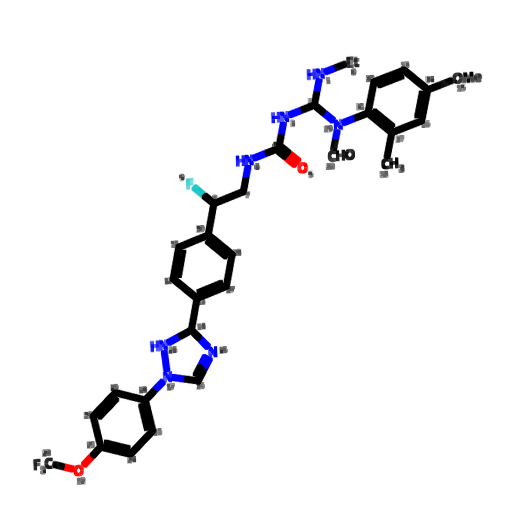 CCNC(NC(=O)NCC(F)c1ccc(C2N=CN(c3ccc(OC(F)(F)F)cc3)N2)cc1)N(C=O)c1ccc(OC)cc1C